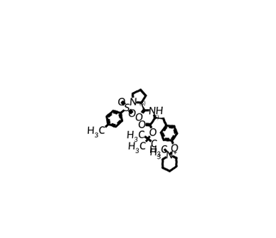 Cc1ccc(S(=O)(=O)N2CCC[C@H]2C(=O)N[C@@H](Cc2ccc(O[N+]3(C)CCCCC3)cc2)C(=O)OC(C)(C)C)cc1